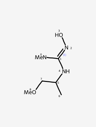 CN/C(=N\O)NC(C)COC